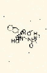 CCOC(=O)C(CNC(=O)C(C)N)NS(=O)(=O)c1ccc2ccccc2c1.Cl